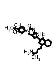 C[C@H](N)CCCc1cc(-c2cc3cn(-c4ccc(C(C)(C)C)cc4)c(=O)nc3[nH]2)c(F)c2c1CCCC2